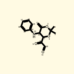 C=C1OC(C)(C)OC(C(=O)C=O)C1Nc1ccccc1